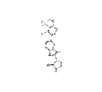 O=C1NCCC1c1nc2ccc(-c3cnc4c(c3Cl)C3(CC3)CN4)cc2[nH]1